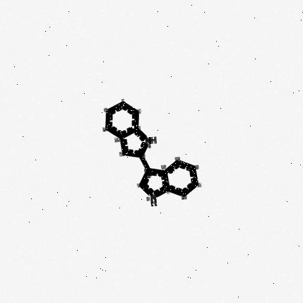 c1ccc2[nH]c(-c3c[nH]c4ccccc34)cc2c1